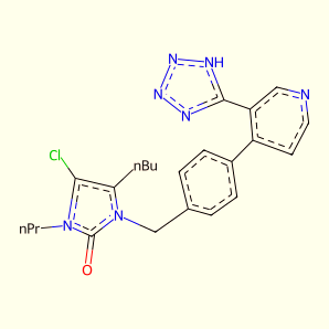 CCCCc1c(Cl)n(CCC)c(=O)n1Cc1ccc(-c2ccncc2-c2nnn[nH]2)cc1